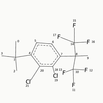 CC(C)(C)c1ccc(C(C)(C(F)(F)F)C(F)(F)F)c(Cl)c1Cl